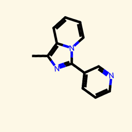 Cc1nc(-c2cccnc2)n2ccccc12